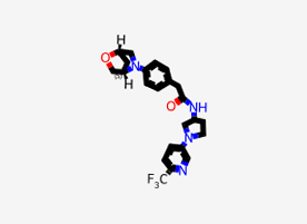 O=C(Cc1ccc(N2C[C@@H]3C[C@H]2CO3)cc1)NC1CCN(c2ccc(C(F)(F)F)nc2)C1